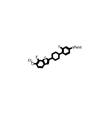 CCCCCc1ccc(C2CCC(c3cc4ccc(OCC)c(F)c4s3)CC2)c(F)c1